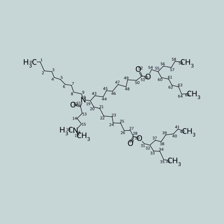 CCCCCCCCCCN(C(=O)CCCN(C)C)C(CCCCCCCCC(=O)OCC(CCCC)CCCCCC)CCCCCCCCC(=O)OCC(CCCC)CCCCCC